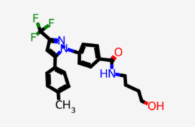 Cc1ccc(-c2cc(C(F)(F)F)nn2-c2ccc(C(=O)NCCCCO)cc2)cc1